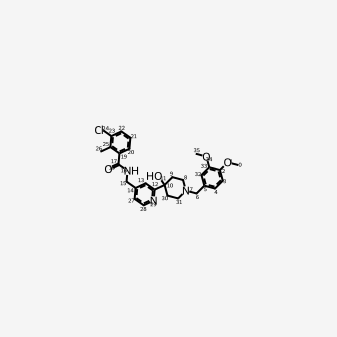 COc1ccc(CN2CCC(O)(c3cc(CNC(=O)c4cccc(Cl)c4C)ccn3)CC2)cc1OC